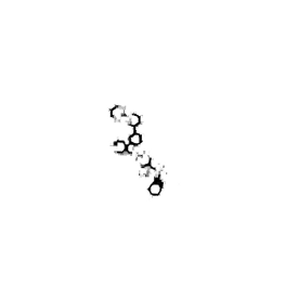 CCC1CC2CC(C1)C(NC(=O)c1cnc(N3CC4(CCOCC4)c4cc(C5=CCCN(c6ncccn6)C5)ccc43)nc1C(F)(F)F)(C(=O)O)C2